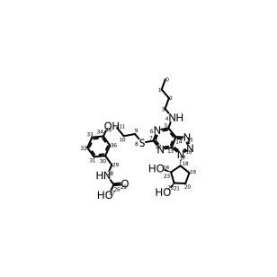 CCCCNc1nc(SCCC)nc2c1nnn2[C@@H]1CC[C@@H](O)[C@H]1O.O=C(O)NCc1cccc(O)c1